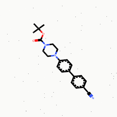 CC(C)(C)OC(=O)N1CCN(c2ccc(-c3ccc(C#N)cc3)cc2)CC1